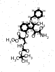 COC(=O)C(CNC(=O)OC(C)(C)C)Oc1cccc2c1c(C(=O)C(N)=O)c(C)n2Cc1ccccc1